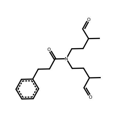 CC(C=O)CCN(CCC(C)C=O)C(=O)CCc1ccccc1